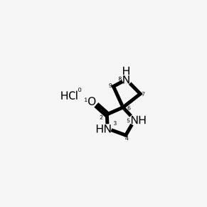 Cl.O=C1NCNC12CNC2